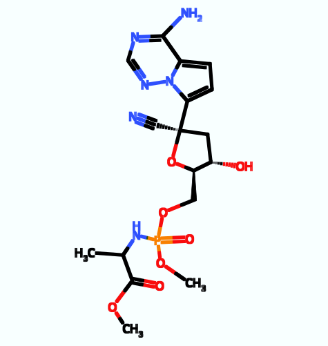 COC(=O)C(C)NP(=O)(OC)OC[C@H]1O[C@@](C#N)(c2ccc3c(N)ncnn23)C[C@@H]1O